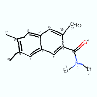 CCN(CC)C(=O)c1cc2cc(C)c(C)cc2cc1C=O